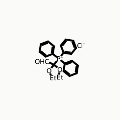 CCOC(C=O)(OCC)[P+](c1ccccc1)(c1ccccc1)c1ccccc1.[Cl-]